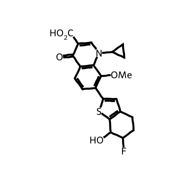 COc1c(-c2cc3c(s2)C(O)C(F)CC3)ccc2c(=O)c(C(=O)O)cn(C3CC3)c12